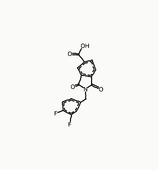 O=C(O)c1ccc2c(c1)C(=O)N(Cc1ccc(F)c(F)c1)C2=O